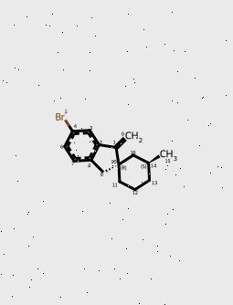 C=C1c2cc(Br)ccc2C[C@]12CCC[C@H](C)C2